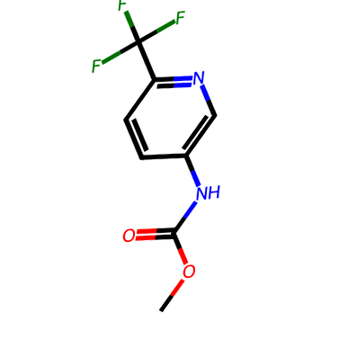 COC(=O)Nc1ccc(C(F)(F)F)nc1